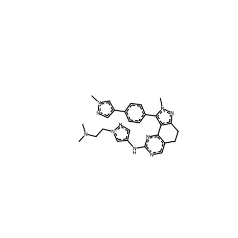 CN(C)CCn1cc(Nc2ncc3c(n2)-c2c(nn(C)c2-c2ccc(-c4cnn(C)c4)cc2)CC3)cn1